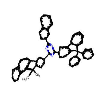 CC1(C)c2ccc(-c3nc(-c4ccc5c(c4)-c4ccccc4C5(c4ccccc4)c4ccccc4)nc(-c4ccc5ccccc5c4)n3)cc2-c2ccc3ccccc3c21